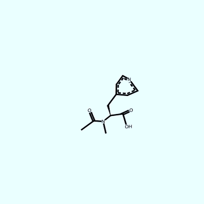 CC(=O)N(C)[C@@H](Cc1ccncc1)C(=O)O